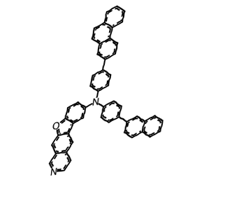 c1ccc2cc(-c3ccc(N(c4ccc(-c5ccc6c(ccc7ccccc76)c5)cc4)c4ccc5oc6cc7cnccc7cc6c5c4)cc3)ccc2c1